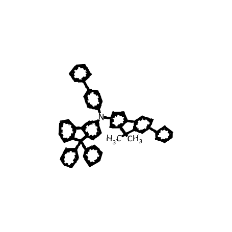 CC1(C)c2cc(-c3ccccc3)ccc2-c2ccc(N(c3ccc(-c4ccccc4)cc3)c3ccc4c(c3)-c3ccccc3C4(c3ccccc3)c3ccccc3)cc21